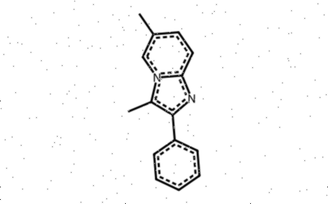 Cc1ccc2nc(-c3ccccc3)c(C)n2c1